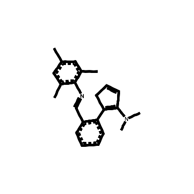 Cc1cc(C)c(N=Cc2ccccc2C2=C(N(C)C)C=CC2)c(C)c1